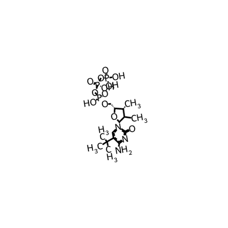 CC1[C@@H](C)[C@@H](COP(=O)(O)OP(=O)(O)OP(=O)(O)O)O[C@H]1n1cc(C(C)(C)C)c(N)nc1=O